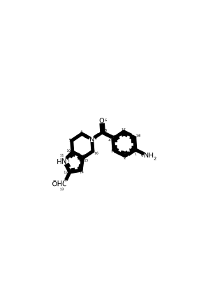 Nc1ccc(C(=O)N2CCc3[nH]c(C=O)cc3C2)cc1